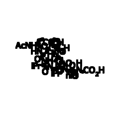 CCC[C@H](NC(=O)[C@@H]1C[C@@H](NC(=O)c2ccccc2)CN1C(=O)[C@@H](NC(=O)[C@@H](NC(=O)[C@H](CCC(=O)O)NC(=O)[C@H](CCC(=O)O)NC(C)=O)C(C)C)C(C)C)C(=O)C(=O)NCC(=O)O